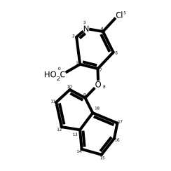 O=C(O)c1cnc(Cl)cc1Oc1cccc2ccccc12